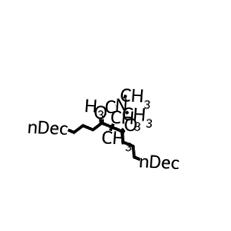 CCCCCCCCCCCCCC(=O)C(C)(C)C(=O)CCCCCCCCCCCCC.CN(C)C